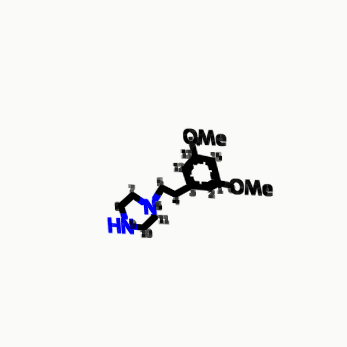 COc1cc(CCN2CCNCC2)cc(OC)c1